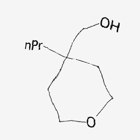 CCCC1(CO)CCOCC1